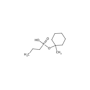 CCCP(=O)(O)OC1(C)CCCCC1